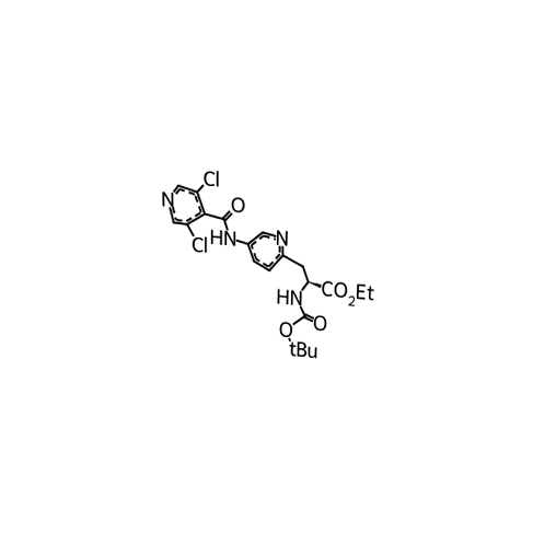 CCOC(=O)[C@H](Cc1ccc(NC(=O)c2c(Cl)cncc2Cl)cn1)NC(=O)OC(C)(C)C